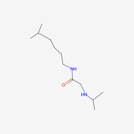 CC(C)CCCCNC(=O)CNC(C)C